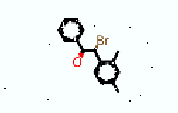 Cc1ccc(C(Br)C(=O)c2ccccc2)c(C)c1